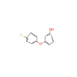 Oc1cccc(Oc2ccc(F)cc2)c1